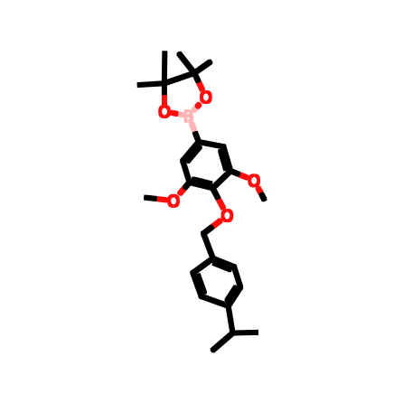 COc1cc(B2OC(C)(C)C(C)(C)O2)cc(OC)c1OCc1ccc(C(C)C)cc1